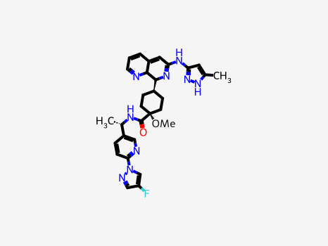 CO[C@]1(C(=O)N[C@@H](C)c2ccc(-n3cc(F)cn3)nc2)CC[C@H](C2N=C(Nc3cc(C)[nH]n3)C=C3C=CC=NC32)CC1